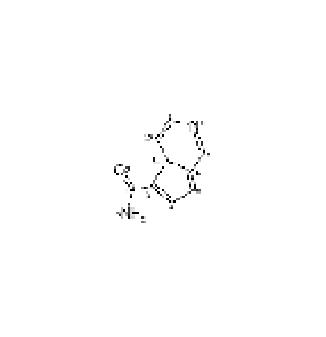 NC(=O)c1ccc2cnccn12